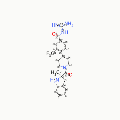 C[C@@](N)(Cc1ccccc1)C(=O)N1CCC(c2ccc(C(=O)NC(=N)N)cc2C(F)(F)F)CC1